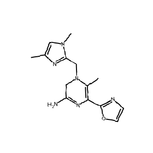 CC1=C(c2ncco2)N=C(N)CN1Cc1nc(C)cn1C